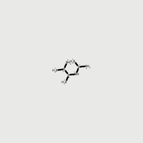 BB(B)BB(B)B(B)B